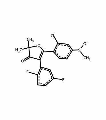 C[S+]([O-])c1ccc(C2=C(c3cc(F)ccc3F)C(=O)C(C)(C)O2)c(Cl)c1